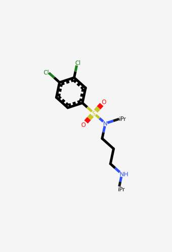 CC(C)NCCCN(C(C)C)S(=O)(=O)c1ccc(Cl)c(Cl)c1